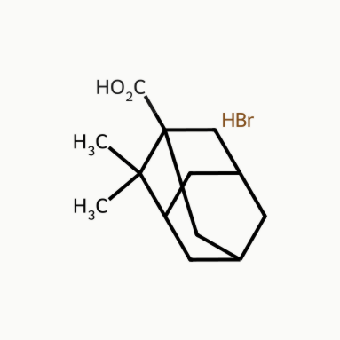 Br.CC1(C)C2CC3CC(C2)CC1(C(=O)O)C3